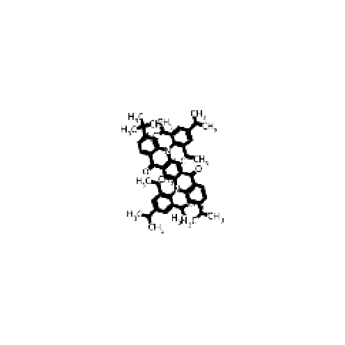 CC(C)c1cc(C(C)C)c(-n2c3cc(C(C)C)ccc3c(=O)c3cc4c(cc32)c(=O)c2ccc(C(C)(C)C)cc2n4-c2c(C(C)C)cc(C(C)C)cc2C(C)C)c(C(C)C)c1